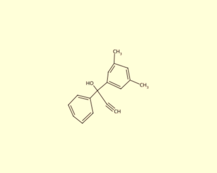 C#CC(O)(c1ccccc1)c1cc(C)cc(C)c1